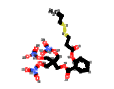 C=CCSSCCC(=O)Oc1ccccc1C(=O)OCC(CO[N+](=O)[O-])(CO[N+](=O)[O-])CO[N+](=O)[O-]